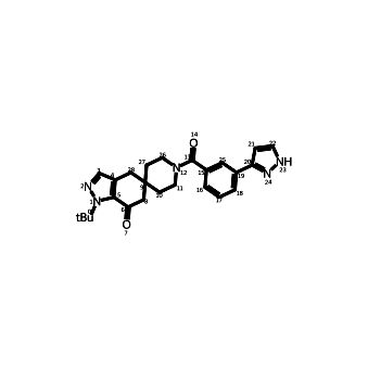 CC(C)(C)n1ncc2c1C(=O)CC1(CCN(C(=O)c3cccc(-c4cc[nH]n4)c3)CC1)C2